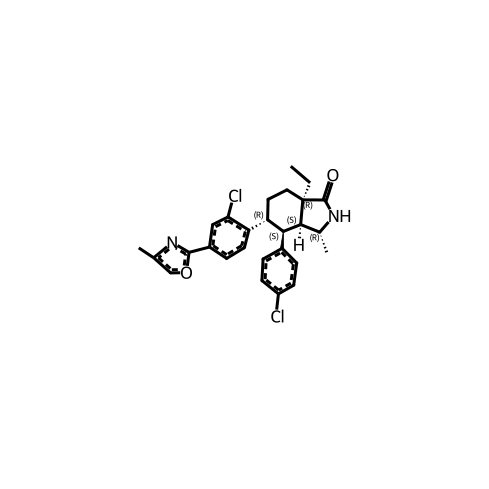 CC[C@@]12CC[C@@H](c3ccc(-c4nc(C)co4)cc3Cl)[C@H](c3ccc(Cl)cc3)[C@@H]1[C@@H](C)NC2=O